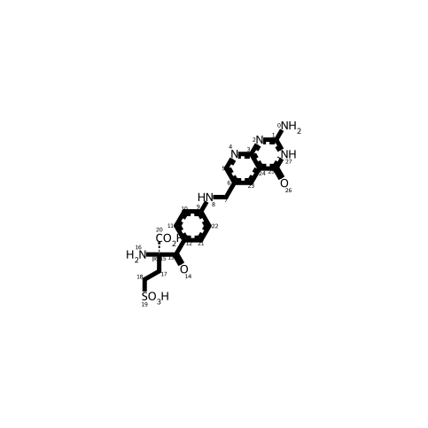 Nc1nc2ncc(CNc3ccc(C(=O)[C@](N)(CCS(=O)(=O)O)C(=O)O)cc3)cc2c(=O)[nH]1